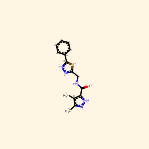 Cc1n[nH]c(C(=O)NCc2nnc(-c3ccccc3)s2)c1C